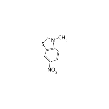 CN1CSc2cc([N+](=O)[O-])ccc21